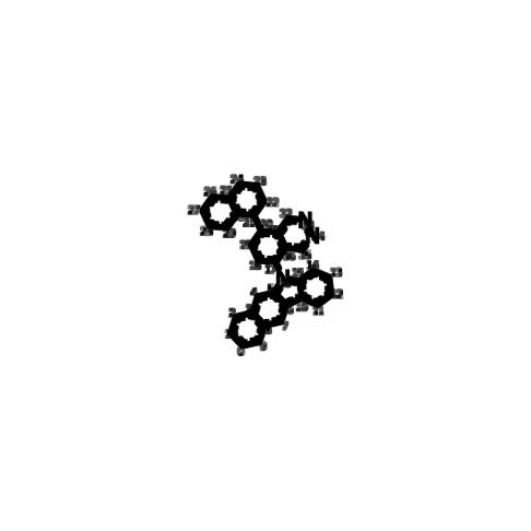 c1ccc2cc3c(cc2c1)c1ccccc1n3-c1ccc(-c2cccc3ccccc23)c2cnncc12